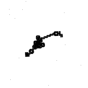 CCCCCCCCCCN1CC(C(=O)O)N(S(=O)(=O)c2ccc(-c3ccc(Br)cc3)cc2)CC1=O